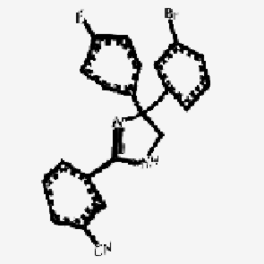 N#Cc1cccc(C2=NC(c3ccc(F)cc3)(c3cccc(Br)c3)CN2)c1